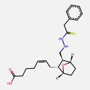 O=C(O)CCC/C=C\C[C@@H]1[C@@H](CNNC(=S)Cc2ccccc2)[C@@H]2CC[C@H]1O2